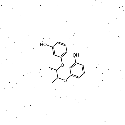 CC(Oc1cccc(O)c1)C(C)Oc1cccc(O)c1